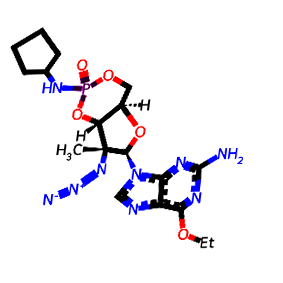 CCOc1nc(N)nc2c1ncn2[C@@H]1O[C@@H]2COP(=O)(NC3CCCC3)O[C@H]2[C@@]1(C)N=[N+]=[N-]